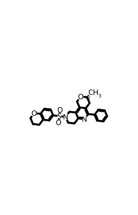 C[C@H]1Cc2c(-c3ccccc3)nc3c(c2CO1)CN(S(=O)(=O)c1ccc2c(c1)CCCO2)CC3